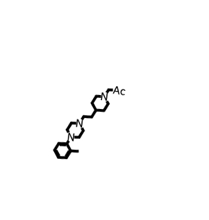 CC(=O)CN1CCC(CCN2CCN(c3ccccc3C)CC2)CC1